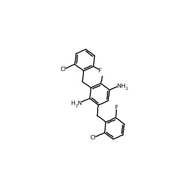 Cc1c(N)cc(Cc2c(F)cccc2Cl)c(N)c1Cc1c(F)cccc1Cl